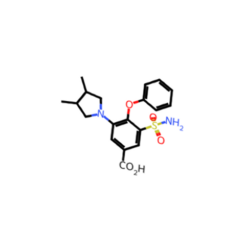 CC1CN(c2cc(C(=O)O)cc(S(N)(=O)=O)c2Oc2ccccc2)CC1C